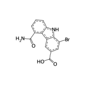 NC(=O)c1cccc2[nH]c3c(Br)cc(C(=O)O)cc3c12